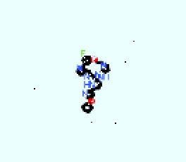 Fc1cc(OCCN2CCCC2)cc(-c2nccc3[nH]c(-c4n[nH]c5ccc(-c6cncc(OC7CCCCC7)c6)nc45)cc23)c1